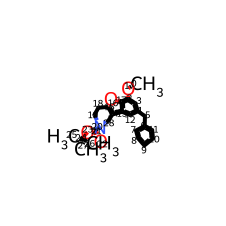 COc1cc(Cc2ccccc2)cc2c3c(oc12)CCN(C(=O)OC(C)(C)C)C3